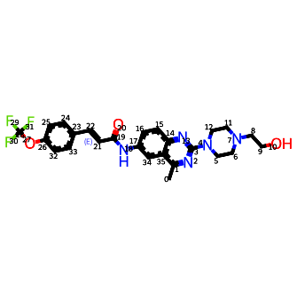 Cc1nc(N2CCN(CCO)CC2)nc2ccc(NC(=O)/C=C/c3ccc(OC(F)(F)F)cc3)cc12